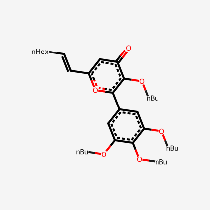 CCCCCCC=Cc1cc(=O)c(OCCCC)c(-c2cc(OCCCC)c(OCCCC)c(OCCCC)c2)o1